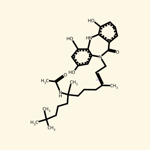 CC(=O)NC(C)(CCC/C(C)=C/CN1C(=O)c2cccc(O)c2Nc2c(O)cc(O)cc21)CCCC(C)(C)C